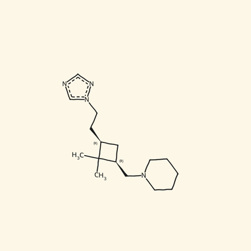 CC1(C)[C@@H](CCn2cncn2)C[C@H]1CN1CCCCC1